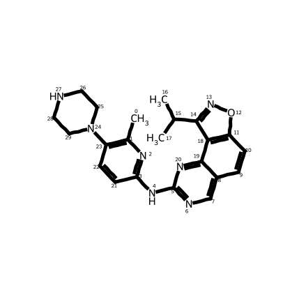 Cc1nc(Nc2ncc3ccc4onc(C(C)C)c4c3n2)ccc1N1CCNCC1